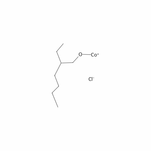 CCCCC(CC)C[O][Co+].[Cl-]